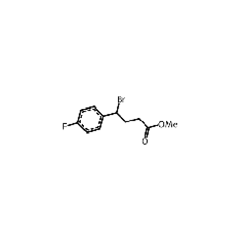 COC(=O)CCC(Br)c1ccc(F)cc1